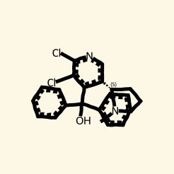 CN1CCC[C@H]1c1cnc(Cl)c(Cl)c1C(O)(c1ccccc1)c1ccccc1